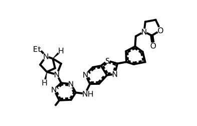 CCN1C[C@@H]2C[C@H]1CN2c1nc(C)cc(Nc2cc3nc(-c4cccc(CN5CCOC5=O)c4)sc3cn2)n1